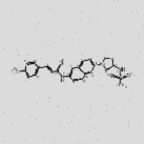 CS(=O)(=O)NC1CCN(c2ccc3cc(NC(=O)C=Cc4ccc(C(F)(F)F)cc4)ccc3n2)C1